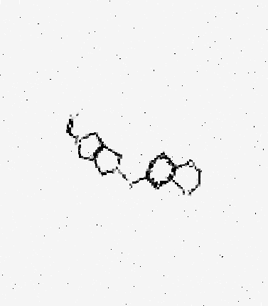 O=CN1CC2=C(C1)CN(Sc1ccc3c(c1)OCCO3)C2